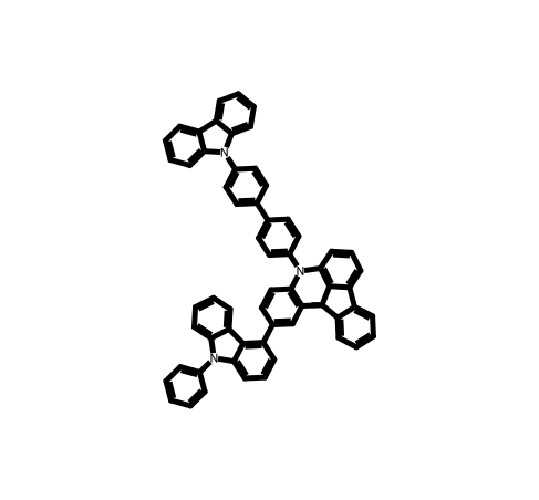 CC12c3ccccc3-c3cccc(c31)N(c1ccc(-c3ccc(-n4c5ccccc5c5ccccc54)cc3)cc1)c1ccc(-c3cccc4c3c3ccccc3n4-c3ccccc3)cc12